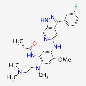 C=CC(=O)Nc1cc(Nc2cc3c(-c4cccc(F)c4)n[nH]c3cn2)c(OC)cc1N(C)CCN(C)C